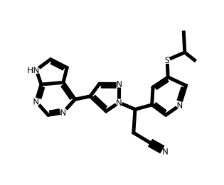 CC(C)Sc1cncc(C(CC#N)n2cc(-c3ncnc4[nH]ccc34)cn2)c1